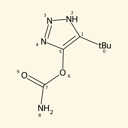 CC(C)(C)c1[nH]nnc1OC(N)=O